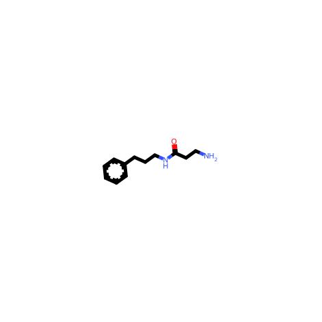 NCCC(=O)NCCCc1ccccc1